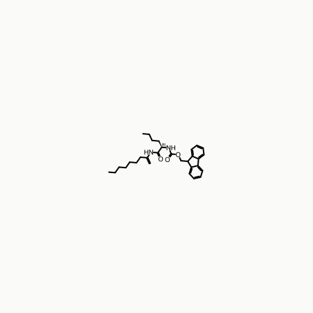 C=C(CCCCCCC)NC(=O)[C@@H](CCCC)NC(=O)OCC1c2ccccc2-c2ccccc21